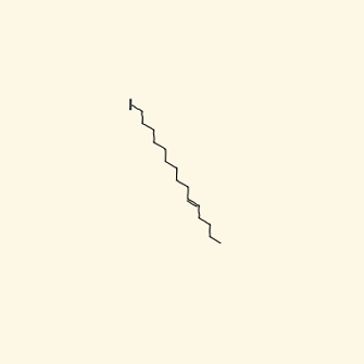 CCCCC=CCCCCCCCCCI